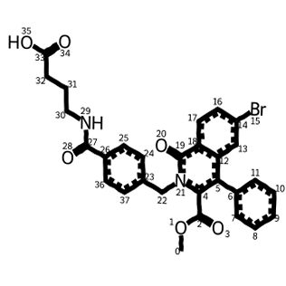 COC(=O)c1c(-c2ccccc2)c2cc(Br)ccc2c(=O)n1Cc1ccc(C(=O)NCCCC(=O)O)cc1